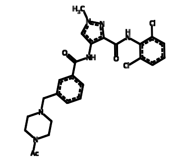 CC(=O)N1CCN(Cc2cccc(C(=O)Nc3cn(C)nc3C(=O)Nc3c(Cl)cccc3Cl)c2)CC1